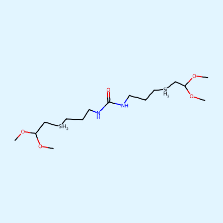 COC(C[SiH2]CCCNC(=O)NCCC[SiH2]CC(OC)OC)OC